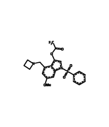 COc1cc(CN2CCC2)c2c(OC(=O)C(F)(F)F)cn(S(=O)(=O)c3ccccc3)c2c1